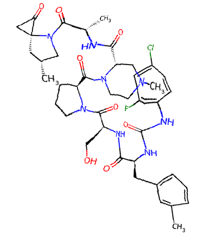 Cc1cccc(C[C@H](NC(=O)Nc2ccc(Cl)cc2F)C(=O)N[C@@H](CO)C(=O)N2CCC[C@H]2C(=O)N2CCN(C)C[C@H]2C(=O)N[C@@H](C)C(=O)N2C[C@H](C)C[C@@]23CC3=O)c1